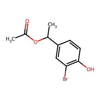 CC(=O)OC(C)c1ccc(O)c(Br)c1